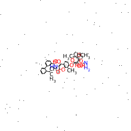 CO[C@@H]1[C@@H](OC(N)O)[C@@H](O)[C@H](Oc2ccc3c(O)c(NC(=O)c4cccc(-c5ccccc5C(C)C)c4)c(=O)oc3c2C)OC1(C)C